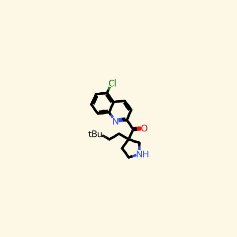 CC(C)(C)CCC1(C(=O)c2ccc3c(Cl)cccc3n2)CCNC1